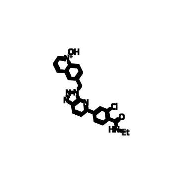 CCNC(=O)c1ccc(-c2ccc3nnn(Cc4ccc5c(ccc[n+]5O)c4)c3n2)cc1Cl